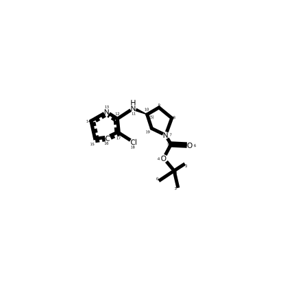 CC(C)(C)OC(=O)N1CC[C@H](Nc2ncccc2Cl)C1